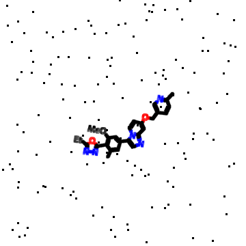 CCc1nnc(-c2c(C)cc(-c3cnc4cc(OCc5ccc(C)nc5)ccn34)cc2OC)o1